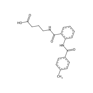 Cc1ccc(C(=O)Nc2ccccc2C(=O)NCCCC(=O)O)cc1